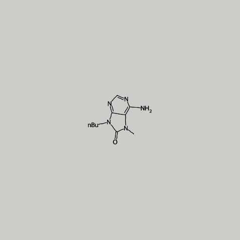 CCCCn1c(=O)n(C)c2c(N)ncnc21